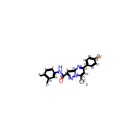 Cc1ccc(NC(=O)c2cc3nc(-c4ccc(Br)cc4)cc(C(F)(F)F)n3n2)cc1C